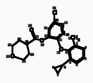 Cc1cccc(C2CC2)c1Oc1nnc(Cl)cc1OC(=O)C1CCOCC1